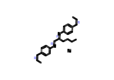 C/C=C\c1ccc(/N=C/C(CCCC)=N/c2ccc(/C=C\C)cc2)cc1.[Ni]